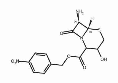 N[C@@H]1C(=O)N2C(C(=O)OCc3ccc([N+](=O)[O-])cc3)C(O)CS[C@@H]12